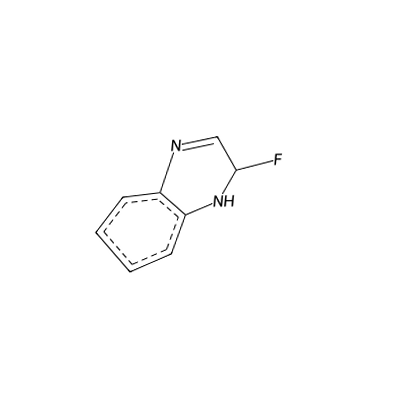 FC1C=Nc2ccccc2N1